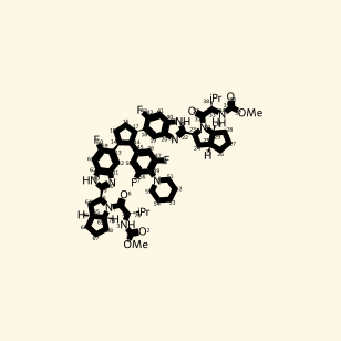 COC(=O)N[C@H](C(=O)N1[C@H](c2nc3cc([C@H]4CC[C@H](c5cc6nc([C@@H]7C[C@@H]8CCC[C@@H]8N7C(=O)[C@@H](NC(=O)OC)C(C)C)[nH]c6cc5F)C4c4cc(F)c(N5CCCCC5)c(F)c4)c(F)cc3[nH]2)C[C@@H]2CCC[C@@H]21)C(C)C